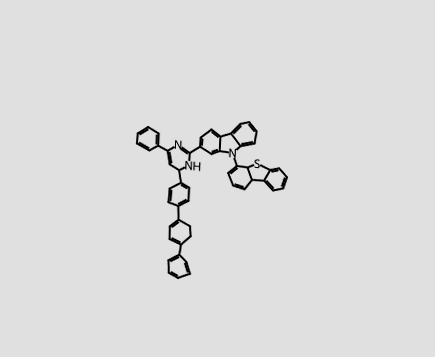 C1=CC2c3ccccc3SC2C(n2c3ccccc3c3ccc(C4=NC(c5ccccc5)=CC(c5ccc(C6=CC=C(c7ccccc7)CC6)cc5)N4)cc32)=C1